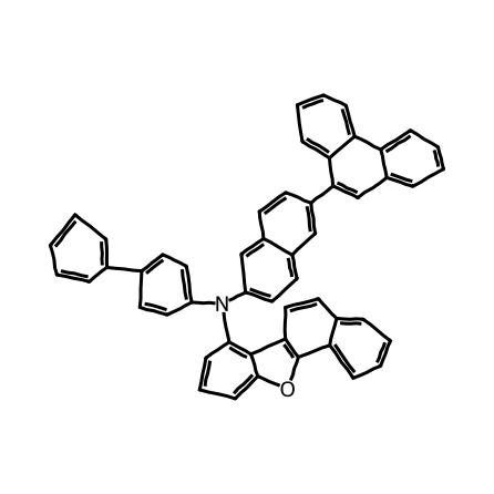 c1ccc(-c2ccc(N(c3ccc4cc(-c5cc6ccccc6c6ccccc56)ccc4c3)c3cccc4oc5c6ccccc6ccc5c34)cc2)cc1